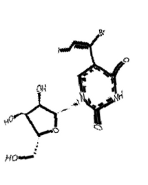 O=c1[nH]c(=O)n([C@@H]2O[C@H](CO)[C@@H](O)[C@H]2O)cc1/C(Br)=C\I